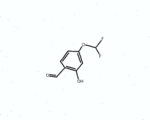 O=Cc1ccc(OC(F)F)cc1O